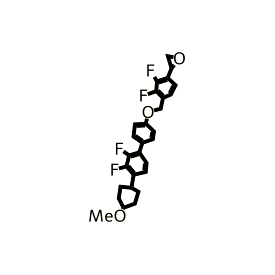 COC1CCC(c2ccc(-c3ccc(OCc4ccc(C5CO5)c(F)c4F)cc3)c(F)c2F)CC1